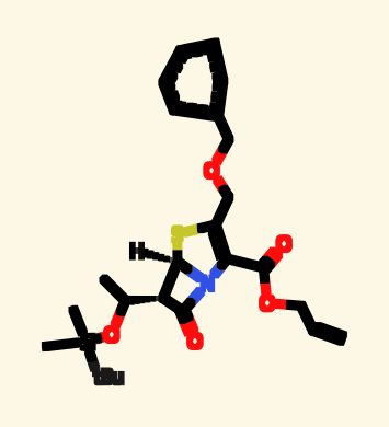 C=CCOC(=O)C1=C(COCc2ccccc2)S[C@@H]2[C@@H](C(C)O[Si](C)(C)C(C)(C)C)C(=O)N12